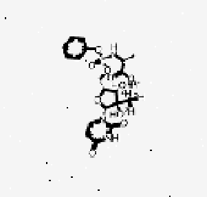 [2H]C([2H])([2H])[C@@]1(O)[C@H](O)[C@@H](CO[P@@](=O)(N[C@@H](C)C(=O)OC(C)C)Oc2ccccc2)O[C@H]1n1ccc(=O)[nH]c1=O